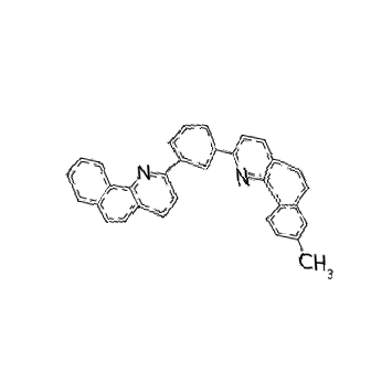 Cc1ccc2c(ccc3ccc(-c4cccc(-c5ccc6ccc7ccccc7c6n5)c4)nc32)c1